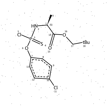 C[C@H](NP(=S)(Cl)Oc1ccc(Cl)cc1)C(=O)OCC(C)(C)C